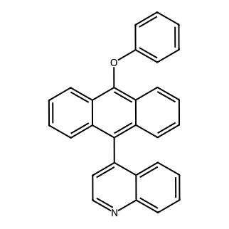 c1ccc(Oc2c3ccccc3c(-c3ccnc4ccccc34)c3ccccc23)cc1